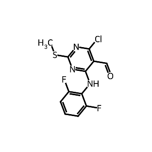 CSc1nc(Cl)c(C=O)c(Nc2c(F)cccc2F)n1